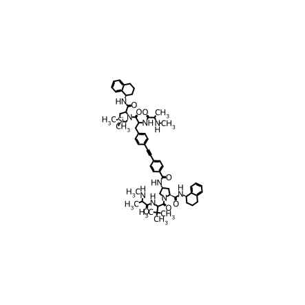 CNC(C)C(=O)NC(Cc1ccc(C#Cc2ccc(C(=O)N[C@H]3C[C@@H](C(=O)N[C@@H]4CCCc5ccccc54)N(C(=O)C(NC(=O)C(C)NC)C(C)(C)C)C3)cc2)cc1)C(=O)N1C[Si](C)(C)CC1C(=O)N[C@@H]1CCCc2ccccc21